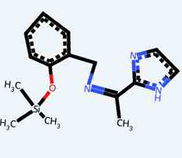 C/C(=N/Cc1ccccc1O[Si](C)(C)C)c1ncc[nH]1